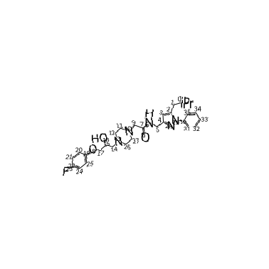 CC(C)Cc1cc(CNC(=O)CN2CCN(C[C@@H](O)COc3ccc(F)cc3)CC2)nn1-c1ccccc1